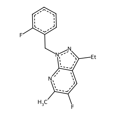 CCc1nn(Cc2ccccc2F)c2nc(C)c(F)cc12